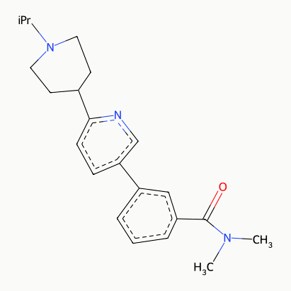 CC(C)N1CCC(c2ccc(-c3cccc(C(=O)N(C)C)c3)cn2)CC1